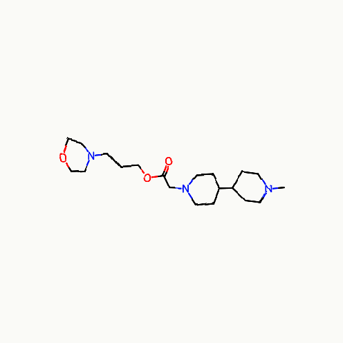 CN1CCC(C2CCN(CC(=O)OCCCN3CCOCC3)CC2)CC1